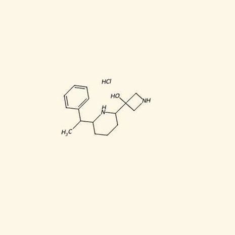 CC(c1ccccc1)C1CCCC(C2(O)CNC2)N1.Cl